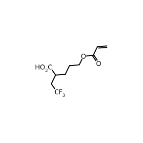 C=CC(=O)OCCCC(CC(F)(F)F)C(=O)O